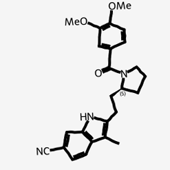 COc1ccc(C(=O)N2CCC[C@H]2CCc2[nH]c3cc(C#N)ccc3c2C)cc1OC